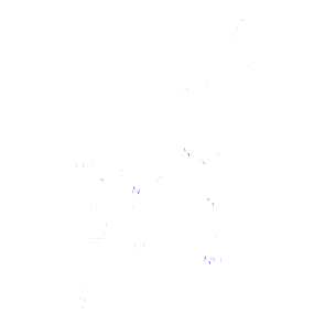 NCCNCC(=O)N(CCc1ccc(Cl)cc1Cl)CC(=O)N(CCc1ccc(Cl)cc1Cl)CC(=O)O